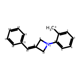 Cc1ccccc1N1CC(=Cc2ccccc2)C1